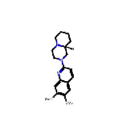 COc1cc2ccc(N3CCN4CCCC[C@@H]4C3)nc2cc1OC